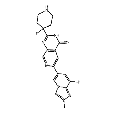 Cc1cn2cc(-c3cc4c(=O)[nH]c(C5(F)CCNCC5)nc4cn3)cc(F)c2n1